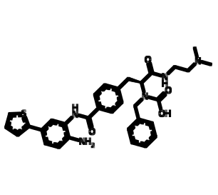 CN(C)CCNC(=O)[C@H](Cc1ccc(C(=O)Nc2cc(-c3cccs3)ccc2N)cc1)N(Cc1ccccc1)C(=O)O